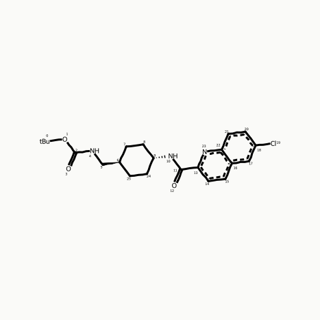 CC(C)(C)OC(=O)NC[C@H]1CC[C@H](NC(=O)c2ccc3cc(Cl)ccc3n2)CC1